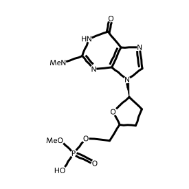 CNc1nc2c(ncn2[C@H]2CCC(COP(=O)(O)OC)O2)c(=O)[nH]1